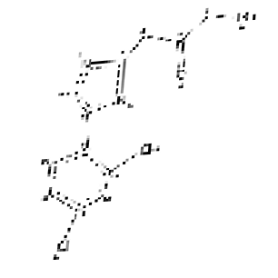 CC(C)(C)CC(=O)Cc1noc(-c2ccc(Cl)cc2Cl)n1